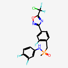 CP(=O)(Cc1ccc(-c2noc(C(F)(F)Cl)n2)cc1F)Nc1ccc(F)c(F)c1